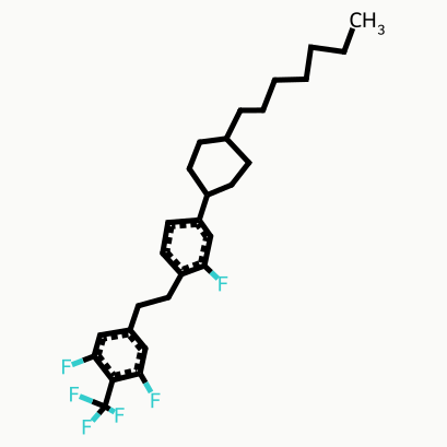 CCCCCCCC1CCC(c2ccc(CCc3cc(F)c(C(F)(F)F)c(F)c3)c(F)c2)CC1